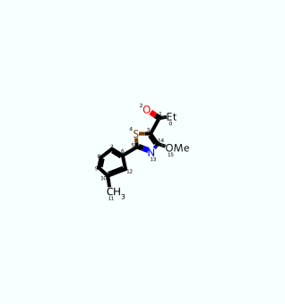 CCC(=O)c1sc(-c2cccc(C)c2)nc1OC